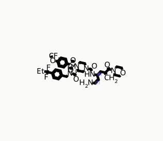 C=C(/C=C(\C=C/N)NC(=O)N1CCN(S(=O)(=O)c2ccc(OC(F)(F)F)cc2)[C@@H](C(=O)NCc2ccc(C(F)(F)CC)cc2)C1)C(=O)N1CCOCC1